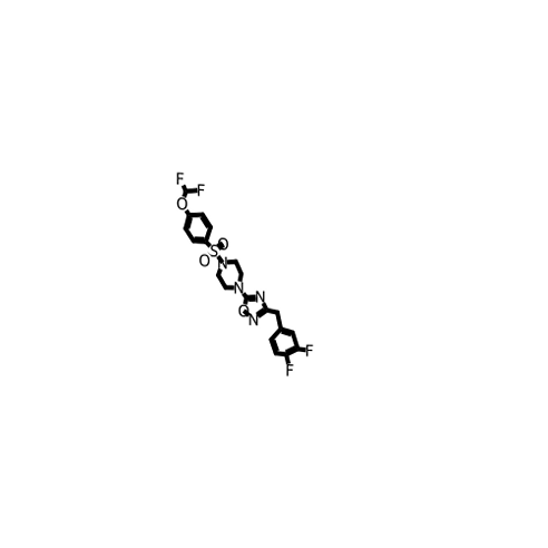 O=S(=O)(c1ccc(OC(F)F)cc1)N1CCN(c2nc(Cc3ccc(F)c(F)c3)no2)CC1